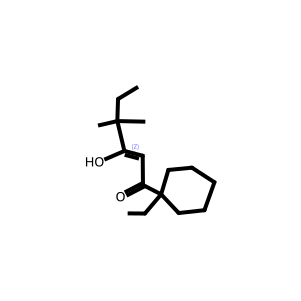 CCC1(C(=O)/C=C(\O)C(C)(C)CC)CCCCC1